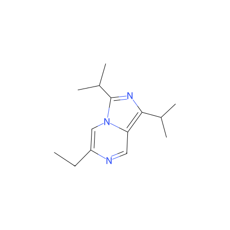 CCc1cn2c(C(C)C)nc(C(C)C)c2cn1